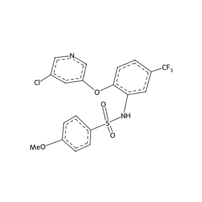 COc1ccc(S(=O)(=O)Nc2cc(C(F)(F)F)ccc2Oc2cncc(Cl)c2)cc1